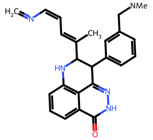 C=N/C=C\C=C(/C)C1Nc2cccc3c(=O)[nH]nc(c23)C1c1cccc(CNC)c1